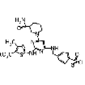 CCOC(=O)c1sc(Nc2nc(NCc3ccc(S(C)(=O)=O)cc3)cc(N3CCCC(C(N)=O)C3)n2)nc1C